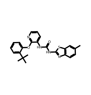 Cc1ccc2nc(NC(=O)Nc3cccnc3Oc3ccccc3C(C)(C)C)sc2c1